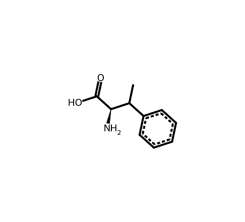 CC(c1ccccc1)[C@@H](N)C(=O)O